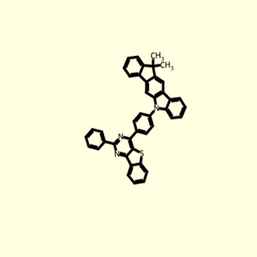 CC1(C)c2ccccc2-c2cc3c(cc21)c1ccccc1n3-c1ccc(-c2nc(-c3ccccc3)nc3c2sc2ccccc23)cc1